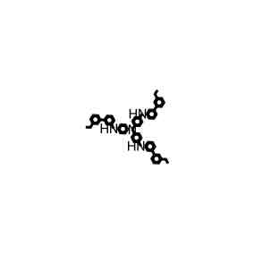 CCc1cccc(-c2cccc(Nc3ccc(N(c4ccc(Nc5cccc(-c6cccc(CC)c6)c5)cc4)c4ccc(Nc5cccc(-c6cccc(CC)c6)c5)cc4)cc3)c2)c1